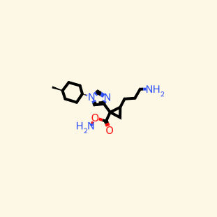 C[C@H]1CC[C@H](n2cnc(C3(C(=O)ON)CC3CCCN)c2)CC1